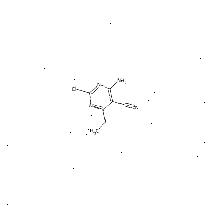 CCc1nc(Cl)nc(N)c1C#N